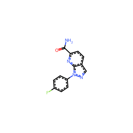 NC(=O)c1ccc2cnn(-c3ccc(F)cc3)c2n1